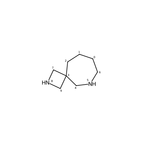 C1CCC2(CNC1)CNC2